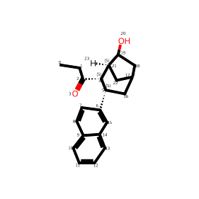 CCC(=O)[C@H]1[C@@H](c2ccc3ccccc3c2)CC2CC(O)[C@H]1C2